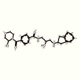 CCC1COCCN1C(=O)c1ccc(C(=O)NCC(O)CNC2Cc3ccccc3C2)cc1